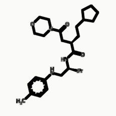 Cc1ccc(NC[C@@H](NC(=O)[C@H](CCC2CCCC2)CC(=O)N2CCOCC2)C(C)C)cc1